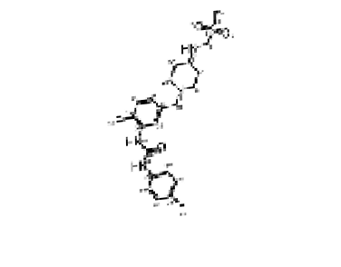 CCS(=O)(=O)CNC1CCN(Cc2ccc(F)c(NC(=O)Nc3ccc(F)cc3)c2)CC1